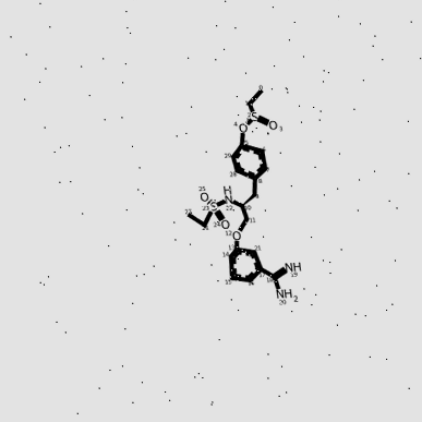 CCS(=O)Oc1ccc(C[C@@H](COc2cccc(C(=N)N)c2)NS(=O)(=O)CC)cc1